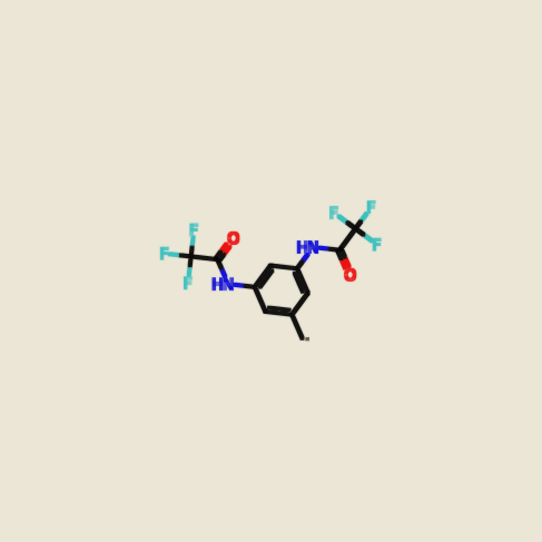 [CH2]c1cc(NC(=O)C(F)(F)F)cc(NC(=O)C(F)(F)F)c1